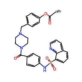 CCCC(=O)Oc1ccc(CN2CCN(C(=O)c3ccc(NS(=O)(=O)c4cccc5cccnc45)cc3)CC2)cc1